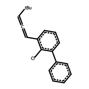 CC(C)(C)C=C=Cc1cccc(-c2ccccc2)c1Cl